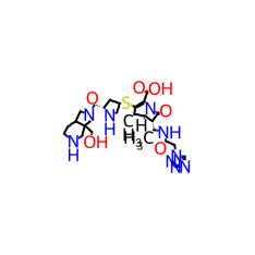 CC(NC(=O)Cn1cnnn1)[C@H]1C(=O)N2C(C(=O)O)=C(S[C@@H]3CN[C@H](C(=O)N4CC5CCNCC5(CO)C4)C3)[C@H](C)[C@H]12